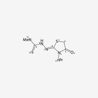 CCCN1C(=O)CSC1=NNC(=S)NC